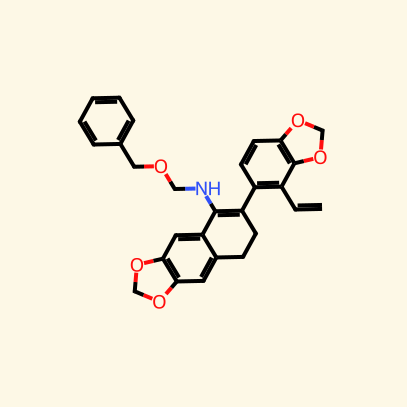 C=Cc1c(C2=C(NCOCc3ccccc3)c3cc4c(cc3CC2)OCO4)ccc2c1OCO2